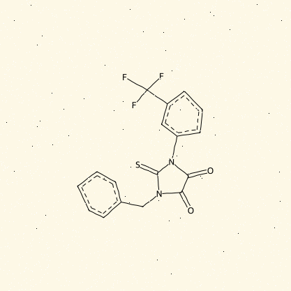 O=C1C(=O)N(c2cccc(C(F)(F)F)c2)C(=S)N1Cc1ccccc1